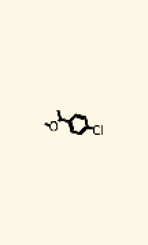 COC(C)c1ccc(Cl)cc1